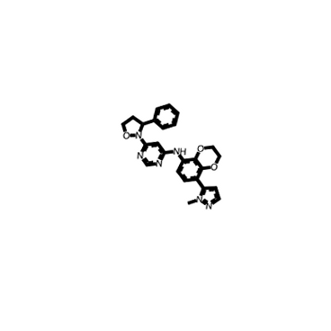 Cn1nccc1-c1ccc(Nc2cc(N3OCCC3c3ccccc3)ncn2)c2c1OCCO2